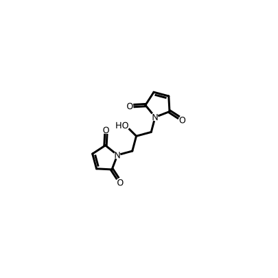 O=C1C=CC(=O)N1CC(O)CN1C(=O)C=CC1=O